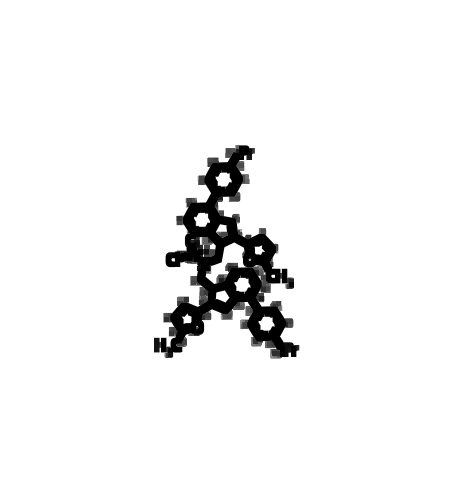 Cc1ccc(C2=Cc3c(-c4ccc(C(C)C)cc4)cccc3C2C[SiH](CC2C(c3ccc(C)o3)=Cc3c(-c4ccc(C(C)C)cc4)cccc32)[Zr]([Cl])[Cl])o1